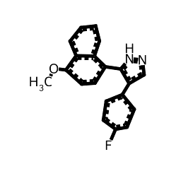 COc1ccc(-c2[nH]ncc2-c2ccc(F)cc2)c2ccccc12